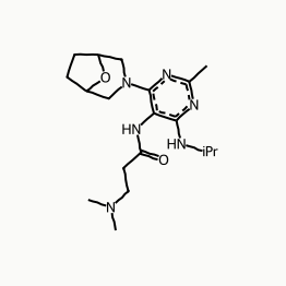 Cc1nc(NC(C)C)c(NC(=O)CCN(C)C)c(N2CC3CCC(C2)O3)n1